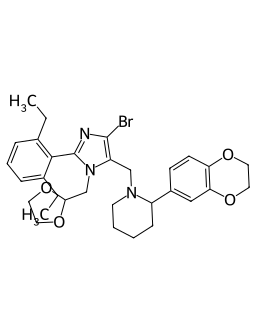 CCc1cccc(CC)c1-c1nc(Br)c(CN2CCCCC2c2ccc3c(c2)OCCO3)n1CC1OCCO1